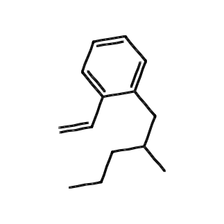 C=Cc1ccccc1CC(C)CCC